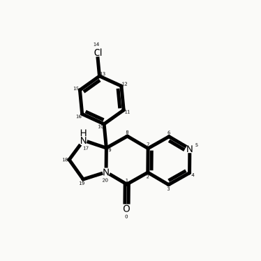 O=C1c2ccncc2CC2(c3ccc(Cl)cc3)NCCN12